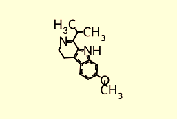 COc1ccc2c3c([nH]c2c1)C(C(C)C)=NCC3